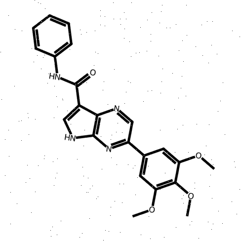 COc1cc(-c2cnc3c(C(=O)Nc4ccccc4)c[nH]c3n2)cc(OC)c1OC